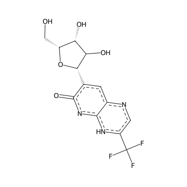 O=c1nc2[nH]c(C(F)(F)F)cnc-2cc1[C@@H]1O[C@H](CO)[C@H](O)C1O